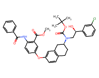 COC(=O)c1cc(Oc2ccc3c(c2)C[C@@H](N(C[C@@H](O)c2cccc(Cl)c2)C(=O)OC(C)(C)C)CC3)ccc1NC(=O)c1ccccc1